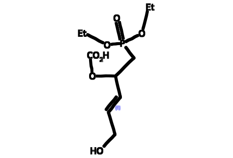 CCOP(=O)(CC(/C=C/CO)OC(=O)O)OCC